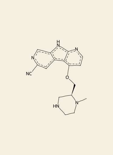 CN1CCNC[C@H]1COc1ccnc2[nH]c3cnc(C#N)cc3c12